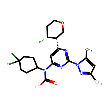 Cc1cc(C)n(-c2nc([C@H]3COCC[C@H]3F)cc(N(C(=O)O)C3CCC(F)(F)CC3)n2)n1